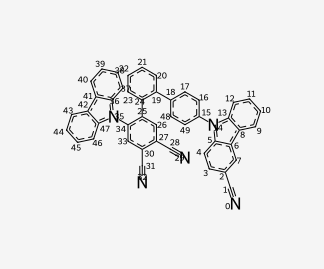 N#Cc1ccc2c(c1)c1ccccc1n2-c1ccc(-c2ccccc2-c2cc(C#N)c(C#N)cc2-n2c3ccccc3c3ccccc32)cc1